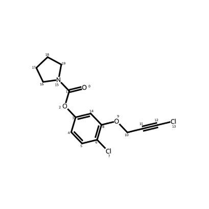 O=C(Oc1ccc(Cl)c(OCC#CCl)c1)N1CCCC1